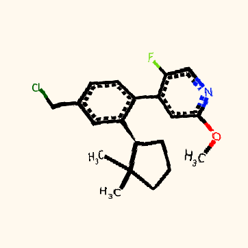 COc1cc(-c2ccc(CCl)cc2[C@H]2CCCC2(C)C)c(F)cn1